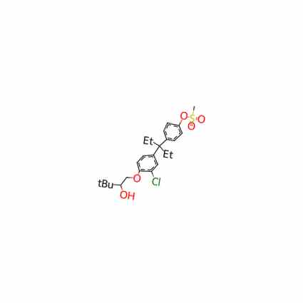 CCC(CC)(c1ccc(OS(C)(=O)=O)cc1)c1ccc(OCC(O)C(C)(C)C)c(Cl)c1